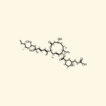 CC[C@H](O)[C@@H](C)O[C@@H](C)C[C@@](C)(O)/C=C/C=C(\C)[C@H]1OC(=O)C[C@H](O)CC[C@@](C)(OC)[C@@H](OC(=O)N2CCNC(CCC(=O)O)C2)/C=C/[C@@H]1C